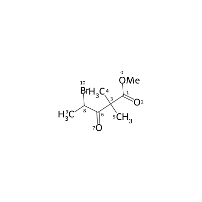 COC(=O)C(C)(C)C(=O)C(C)Br